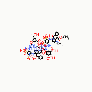 CCOc1c2c3c(c(Nc4cc(Nc5nc(NCCNc6nc(Nc7cc(Nc8ccc9c%10c8C(=O)c8ccccc8-c%10c(OCC)c(=O)n9C)c(S(=O)(=O)O)cc7S(=O)(=O)O)nc(Oc7cc(C(=O)O)cc(C(=O)O)c7)n6)nc(Oc6cc(C(=O)O)cc(C(=O)O)c6)n5)c(S(=O)(=O)O)cc4S(=O)(=O)O)ccc3n(C)c1=O)C(=O)c1ccccc1-2